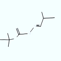 CC(C)C=NNC(=O)OC(C)(C)C